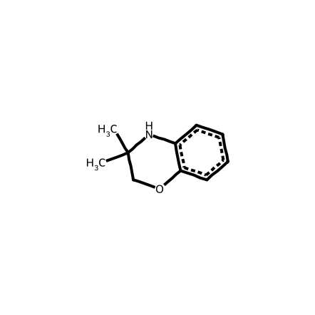 CC1(C)COc2ccccc2N1